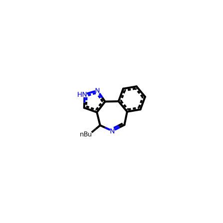 CCCCC1N=Cc2ccccc2-c2n[nH]cc21